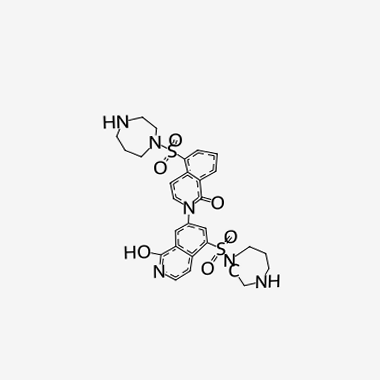 O=c1c2cccc(S(=O)(=O)N3CCCNCC3)c2ccn1-c1cc(S(=O)(=O)N2CCCNCC2)c2ccnc(O)c2c1